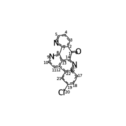 O=C1c2cccnc2-c2nccc3c2c1nc1ccc(Cl)cc13